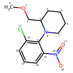 COCC1CCCCN1c1c(Cl)cccc1[N+](=O)[O-]